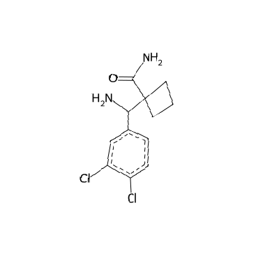 NC(=O)C1(C(N)c2ccc(Cl)c(Cl)c2)CCC1